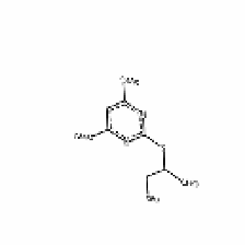 COc1cc(OC)nc(SC(C=O)CC(C)(C)C)n1